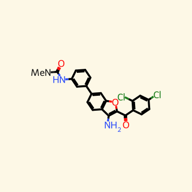 CNC(=O)Nc1cccc(-c2ccc3c(N)c(C(=O)c4ccc(Cl)cc4Cl)oc3c2)c1